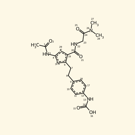 CC(=O)Nc1nc(CCc2ccc(NC(=O)O)cc2)c(C(=O)NCC(=O)N(C)C)s1